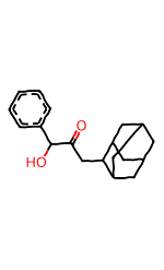 O=C(CC1C2CC3CC(C2)CC1C3)C(O)c1ccccc1